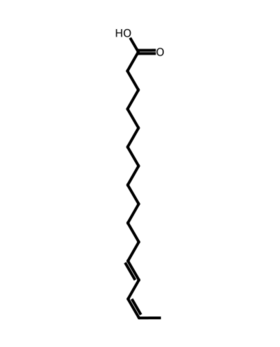 C/C=C\C=C\CCCCCCCCCCC(=O)O